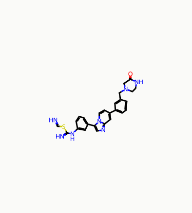 N=CSC(=N)Nc1cccc(-c2cnc3cc(-c4cccc(CN5CCNC(=O)C5)c4)ccn23)c1